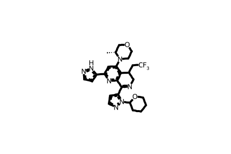 C[C@@H]1COCCN1c1cc(-c2ccn[nH]2)nc2c1C(CC(F)(F)F)CN=C2c1ccnn1C1CCCCO1